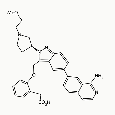 COCCN1CC[C@H](n2nc3ccc(-c4ccc5ccnc(N)c5c4)cc3c2COc2ccccc2CC(=O)O)C1